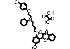 COc1ccc(OCCCCN(CCOc2ccc(Cl)cc2)C2CCCCC2)c(C2Sc3ccccc3N(C)C2=O)c1.O=C(O)C(=O)O